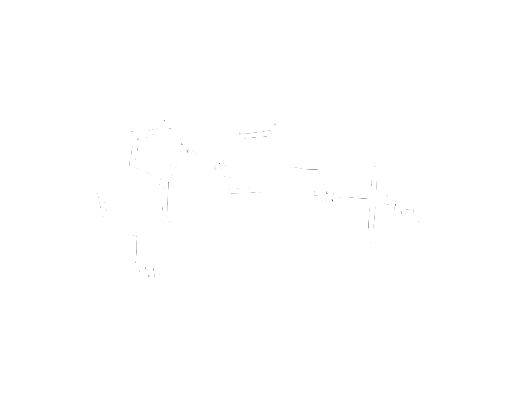 COc1ccc2nnn(-c3ccc(CNS(N)(=O)=O)cc3)c2c1